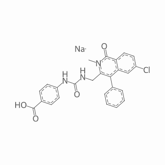 Cn1c(CNC(=O)Nc2ccc(C(=O)O)cc2)c(-c2ccccc2)c2cc(Cl)ccc2c1=O.[Na]